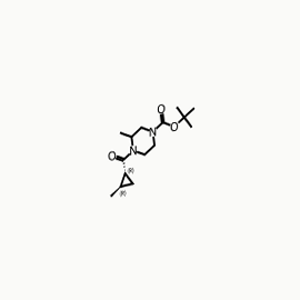 CC1CN(C(=O)OC(C)(C)C)CCN1C(=O)[C@@H]1C[C@H]1C